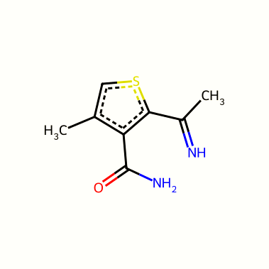 CC(=N)c1scc(C)c1C(N)=O